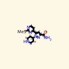 CSc1nccc(-c2cc(C(N)=O)nn2C2CCNCC2)n1